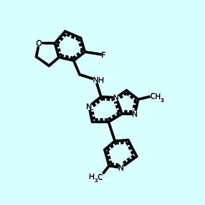 Cc1cc(-c2cnc(NCc3c(F)ccc4c3CCO4)n3cc(C)nc23)ccn1